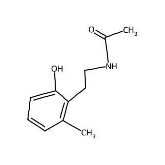 CC(=O)NCCc1c(C)cccc1O